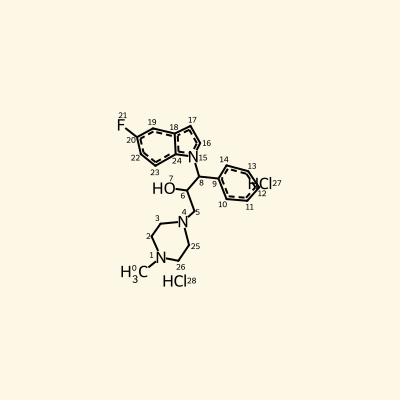 CN1CCN(CC(O)C(c2ccccc2)n2ccc3cc(F)ccc32)CC1.Cl.Cl